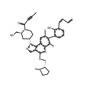 C=C/C=C\c1cccc(-c2c(C)cc3c(nc(OC[C@@H]4CCCN4C)c4cnn([C@H]5CCN(C(=O)C#CC)[C@H](CC#N)C5)c43)c2F)c1C#N